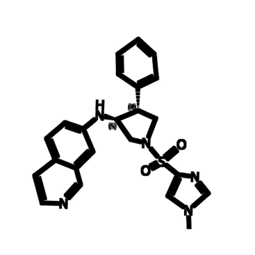 Cn1cnc(S(=O)(=O)N2C[C@@H](Nc3ccc4ccncc4c3)[C@H](c3ccccc3)C2)c1